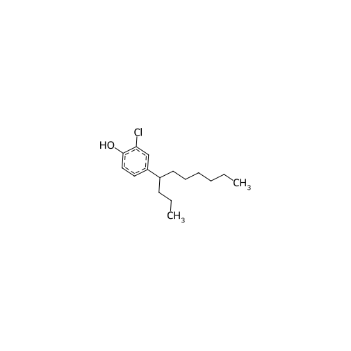 CCCCCCC(CCC)c1ccc(O)c(Cl)c1